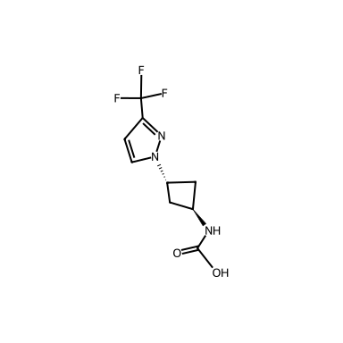 O=C(O)N[C@H]1C[C@H](n2ccc(C(F)(F)F)n2)C1